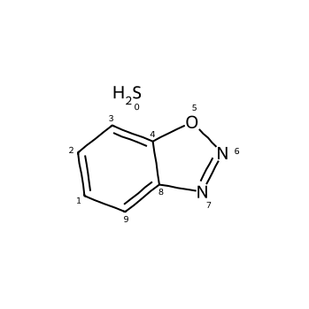 S.c1ccc2onnc2c1